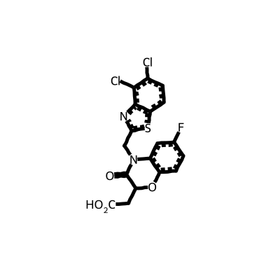 O=C(O)CC1Oc2ccc(F)cc2N(Cc2nc3c(Cl)c(Cl)ccc3s2)C1=O